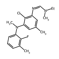 CCN(C)/C=N\c1cc(C)cc(N(C)c2cccc(C)c2F)c1Cl